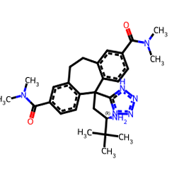 CN(C)C(=O)c1ccc2c(c1)CCc1cc(C(=O)N(C)C)ccc1C2(C[C@@H](N)C(C)(C)C)c1nnn[nH]1